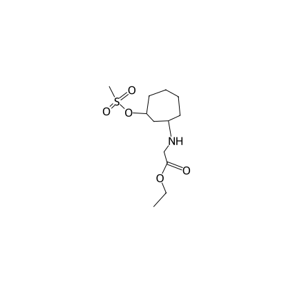 CCOC(=O)CNC1CCCCC(OS(C)(=O)=O)C1